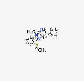 CCSc1ccccc1-c1nc2cc(C(C)C)cnc2n1C